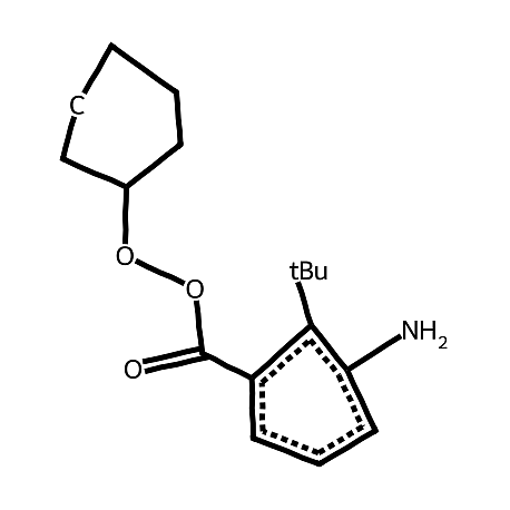 CC(C)(C)c1c(N)cccc1C(=O)OOC1CCCCC1